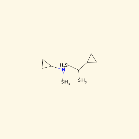 [SiH3]C([SiH2]N([SiH3])C1CC1)C1CC1